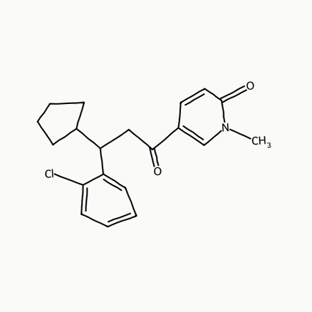 Cn1cc(C(=O)CC(c2ccccc2Cl)C2CCCC2)ccc1=O